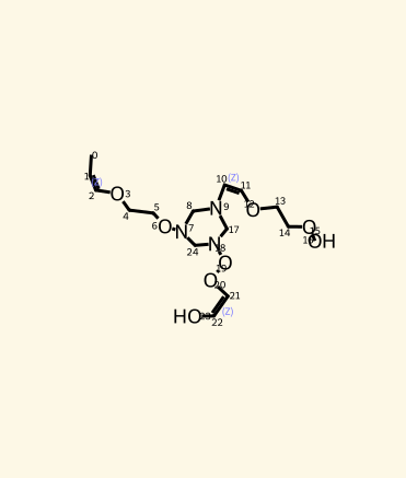 C/C=C\OCCON1CN(/C=C\OCCOO)CN(OO/C=C\O)C1